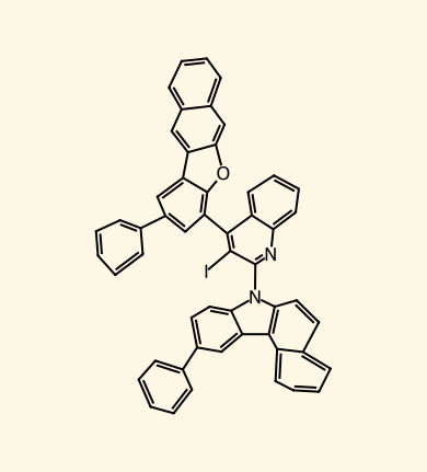 Ic1c(-n2c3ccc(-c4ccccc4)cc3c3c4ccccc4ccc32)nc2ccccc2c1-c1cc(-c2ccccc2)cc2c1oc1cc3ccccc3cc12